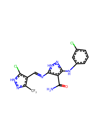 NC(=O)c1c(Nc2cccc(Cl)c2)n[nH]c1/N=C/c1c(C(F)(F)F)n[nH]c1Cl